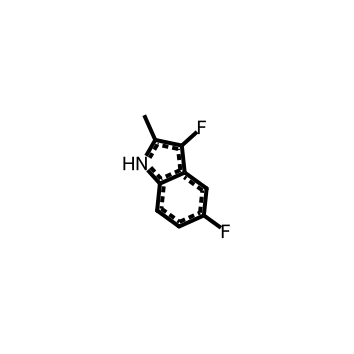 Cc1[nH]c2ccc(F)cc2c1F